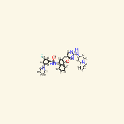 CCN1CCC(Nc2nccc(Oc3ccc(NC(=O)c4cc(F)cc(N5CCCCC5)c4)c4ccccc34)n2)CC1